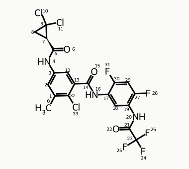 Cc1cc(NC(=O)[C@H]2CC2(Cl)Cl)cc(C(=O)Nc2cc(NC(=O)C(F)(F)F)c(F)cc2F)c1Cl